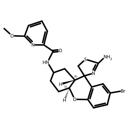 COc1cccc(C(=O)NC2CC[C@@H]3Oc4ccc(Br)cc4C4(CSC(N)=N4)[C@H]3C2)n1